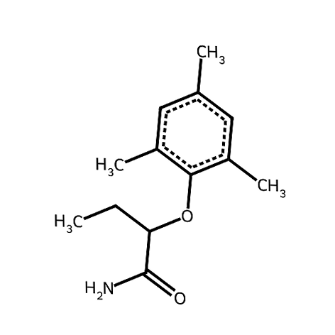 CCC(Oc1c(C)cc(C)cc1C)C(N)=O